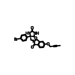 CC#CCOc1ccc2c(c1)CN(C[C@@]1(c3ccc(Br)cc3)NC(=O)NC1=O)C2=O